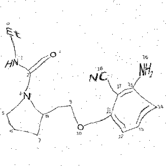 CCNC(=O)N1CCCC1COc1cccc(N)c1C#N